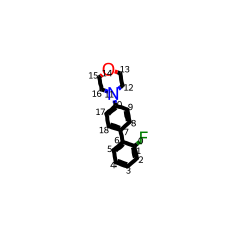 Fc1cc[c]cc1-c1ccc(N2CCOCC2)cc1